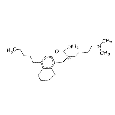 CCCCCc1ccc(C[C@H](CCCCN(C)C)C(N)=O)c2c1CCCC2